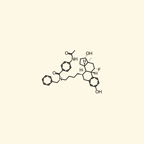 CC(=O)Nc1ccc(C(=O)N(CCCC[C@@H]2Cc3cc(O)ccc3[C@@H]3[C@@H]2[C@@H]2CC[C@H](O)[C@@]2(C)C[C@@H]3F)Cc2ccccc2)cc1